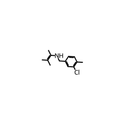 CC(C)=C(C)NCc1ccc(C)c(Cl)c1